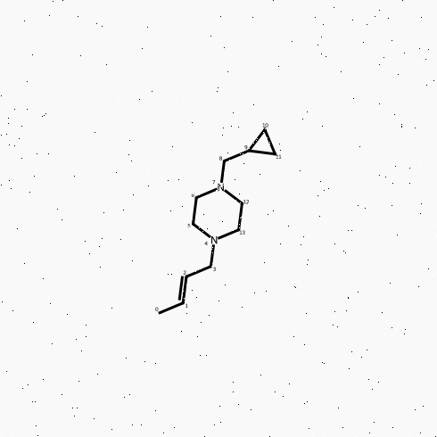 C/C=C/CN1CCN(CC2CC2)CC1